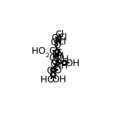 O=C(O)C1=C(COC(=O)N(Cl)C(=O)C(Cl)Cl)CS[C@H]2[C@H](NC(=O)C(NC(=O)c3coc4cc(O)c(O)cc4c3=O)c3ccc(O)cc3)C(=O)N12